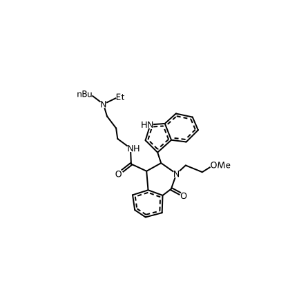 CCCCN(CC)CCCNC(=O)C1c2ccccc2C(=O)N(CCOC)C1c1c[nH]c2ccccc12